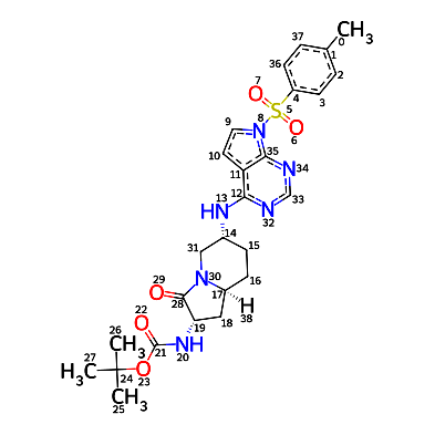 Cc1ccc(S(=O)(=O)n2ccc3c(N[C@@H]4CC[C@H]5C[C@H](NC(=O)OC(C)(C)C)C(=O)N5C4)ncnc32)cc1